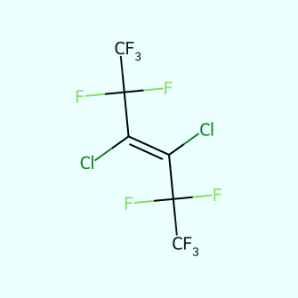 FC(F)(F)C(F)(F)C(Cl)=C(Cl)C(F)(F)C(F)(F)F